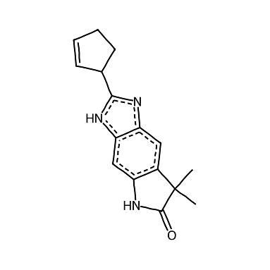 CC1(C)C(=O)Nc2cc3[nH]c(C4C=CCC4)nc3cc21